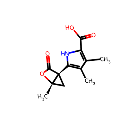 Cc1c(C(=O)O)[nH]c([C@@]23C[C@]2(C)OC3=O)c1C